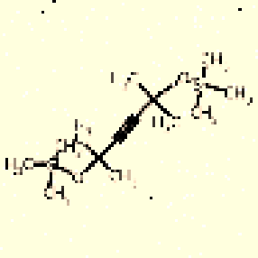 CC(C)(C#CC(C)(C)O[Si](C)(C)C)O[Si](C)(C)C